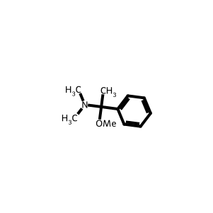 COC(C)(c1ccccc1)N(C)C